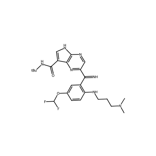 CN(C)CCCNc1ccc(OC(F)F)cc1C(=N)c1cnc2[nH]cc(C(=O)NC(C)(C)C)c2n1